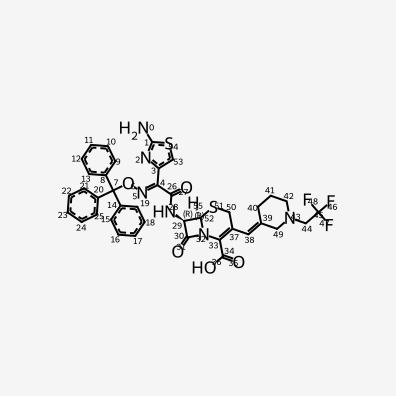 Nc1nc(C(=NOC(c2ccccc2)(c2ccccc2)c2ccccc2)C(=O)N[C@@H]2C(=O)N3C(C(=O)O)=C(C=C4CCCN(CC(F)(F)F)C4)CS[C@H]23)cs1